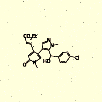 CCOC(=O)/C=C/c1cc(=O)n(C)cc1-c1cnn(C)c1C(O)c1ccc(Cl)cc1